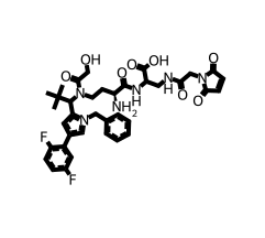 CC(C)(C)C(c1cc(-c2cc(F)ccc2F)cn1Cc1ccccc1)N(CC[C@H](N)C(=O)NC(CNC(=O)CN1C(=O)C=CC1=O)C(=O)O)C(=O)CO